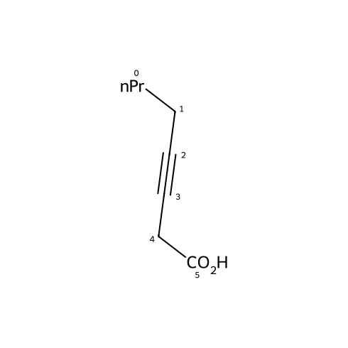 CCCCC#CCC(=O)O